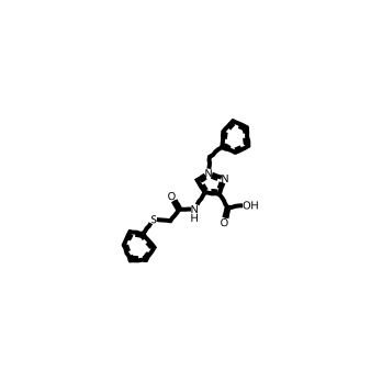 O=C(CSc1ccccc1)Nc1cn(Cc2ccccc2)nc1C(=O)O